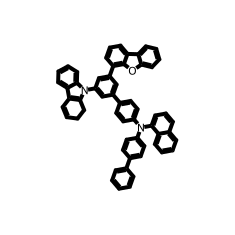 C1=Cc2c(n(-c3cc(-c4ccc(N(c5ccc(-c6ccccc6)cc5)c5cccc6ccccc56)cc4)cc(-c4cccc5c4oc4ccccc45)c3)c3ccccc23)CC1